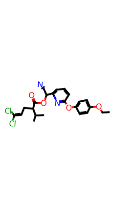 CCOc1ccc(Oc2cccc(C(C#N)OC(=O)C(CC=C(Cl)Cl)C(C)C)n2)cc1